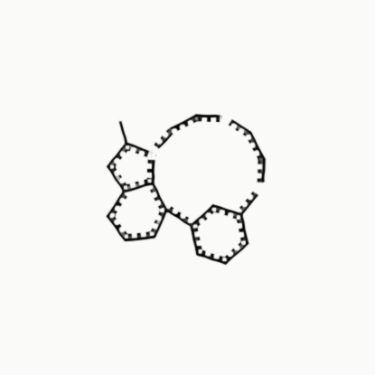 O=C(O)c1cc2cccc3c4cccc(c4)occoccn1c23